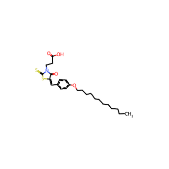 CCCCCCCCCCCCOc1ccc(C=C2SC(=S)N(CCC(=O)O)C2=O)cc1